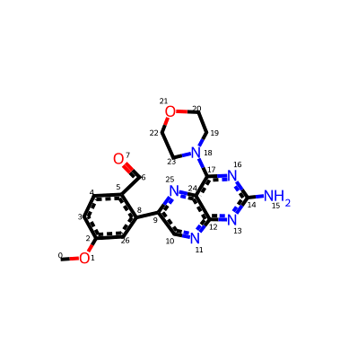 COc1ccc(C=O)c(-c2cnc3nc(N)nc(N4CCOCC4)c3n2)c1